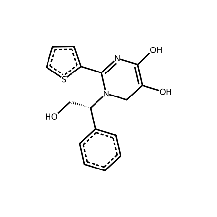 OC[C@@H](c1ccccc1)N1CC(O)=C(O)N=C1c1cccs1